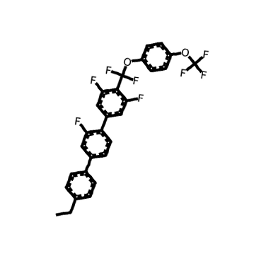 CCc1ccc(-c2ccc(-c3cc(F)c(C(F)(F)Oc4ccc(OC(F)(F)F)cc4)c(F)c3)c(F)c2)cc1